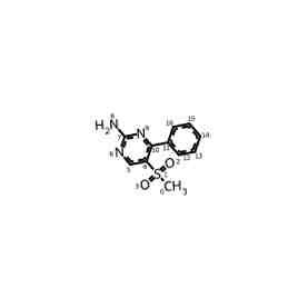 CS(=O)(=O)c1cnc(N)nc1-c1ccccc1